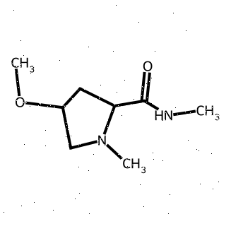 CNC(=O)C1CC(OC)CN1C